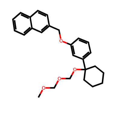 COCOCOC1(c2cccc(OCc3ccc4ccccc4c3)c2)CCCCC1